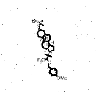 COc1ccc(COC(C(F)(F)F)C(C)(C)[C@H]2CC[C@H]3[C@@H]4CC=C5CC(O[Si](C)(C)C(C)(C)C)CC[C@]5(C)[C@H]4CC[C@]23C)cc1